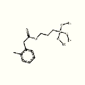 CCO[Si](CCCOC(=O)Cc1ccccc1C)(OCC)OCC